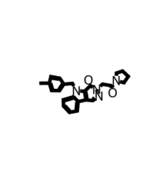 Cc1ccc(Cn2c3ccccc3c3cnn(CC(=O)N4CCCC4)c(=O)c32)cc1